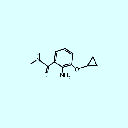 CNC(=O)c1cccc(OC2CC2)c1N